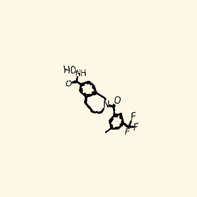 Cc1cc(C(=O)N2CCCc3cc(C(=O)NO)ccc3C2)cc(C(F)(F)F)c1